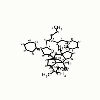 CCCN(CCN1CCCCC1)C[C@@H]1O[C@@H](C23C[C@@H]4[C@H](C)CC[C@H]4C4(C=O)CC2C=C(C(C)C)[C@]43C(=O)O)C[C@H]1C1CCCCC1